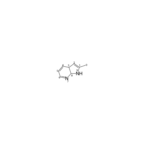 CC1=CC2C=CC=NC2N1